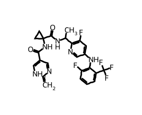 C=C/N=C\C(=C/N)C(=O)NC1(C(=O)NC(C)c2ncc(Nc3c(F)cccc3C(F)(F)F)cc2F)CC1